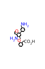 NCc1cccc(-c2cc(COc3ccccc3CC(=O)O)c(N)c3ccoc23)c1